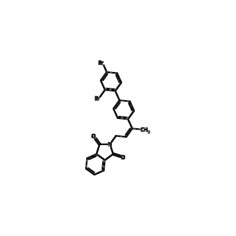 C/C(=C/CN1C(=O)c2ccccc2C1=O)c1ccc(-c2ccc(Br)cc2Br)cc1